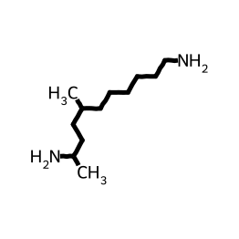 CC(N)CCC(C)CCCCCCN